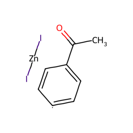 CC(=O)c1cc[c]cc1.[I][Zn][I]